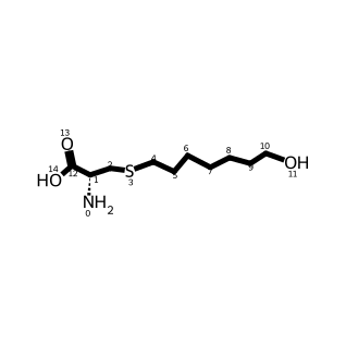 N[C@@H](CSCCCCCCCO)C(=O)O